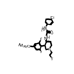 COc1cc(F)c(C2CN(CCF)CCC2NC(=O)Nc2ccc(Cl)cc2)c(F)c1